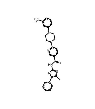 Cc1sc(NC(=O)c2ccc(N3CCN(c4cccc(C(F)(F)F)c4)CC3)nc2)nc1-c1ccccc1